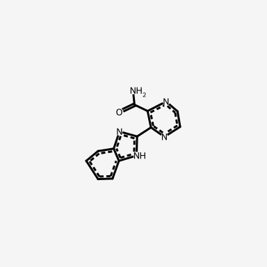 NC(=O)c1nccnc1-c1nc2ccccc2[nH]1